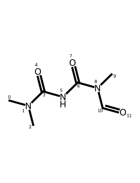 CN(C)C(=O)NC(=O)N(C)C=O